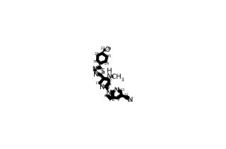 CNc1cc(-n2ccc3cc(C#N)cnc32)ncc1-c1nnc([C@H]2CC[C@H](C=O)CC2)s1